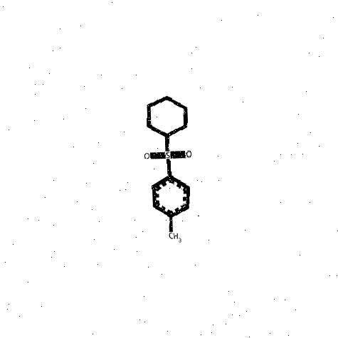 Cc1ccc(S(=O)(=O)C2CCCCC2)cc1